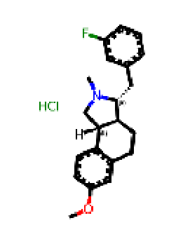 COc1ccc2c(c1)CCC1[C@@H](Cc3cccc(F)c3)N(C)C[C@@H]21.Cl